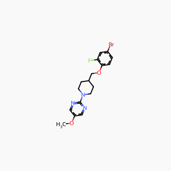 COc1cnc(N2CCC(COc3ccc(Br)cc3F)CC2)nc1